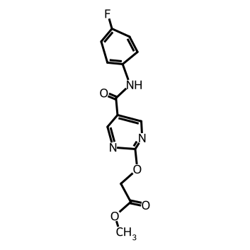 COC(=O)COc1ncc(C(=O)Nc2ccc(F)cc2)cn1